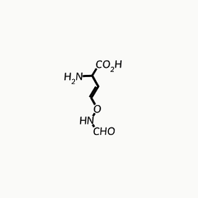 NC(/C=C/ONC=O)C(=O)O